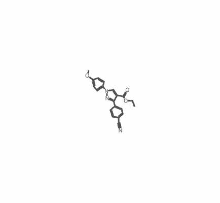 CCOC(=O)c1cn(-c2ccc(OC)cc2)nc1-c1ccc(C#N)cc1